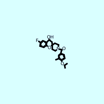 Cc1cc(C(=O)N2CCC3(CC2)C[C@@H](O)c2cc(F)ccc2O3)ccc1OC(C)C